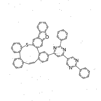 C1=C\c2ccc(-c3cc(-c4cnc(-c5ccccc5)nc4)nc(-c4ccccc4)n3)cc2-c2cc3oc4ccccc4c3cc2Sc2ccccc2-c2ccccc2/1